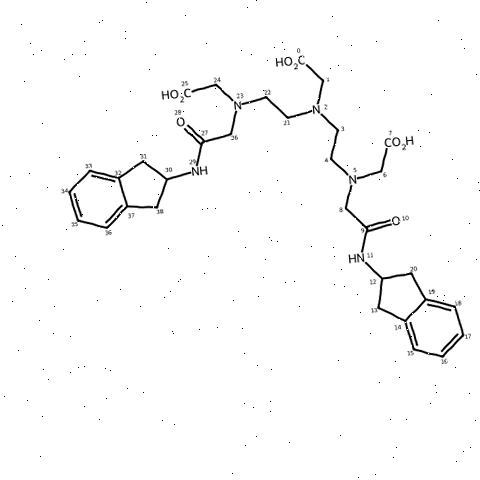 O=C(O)CN(CCN(CC(=O)O)CC(=O)NC1Cc2ccccc2C1)CCN(CC(=O)O)CC(=O)NC1Cc2ccccc2C1